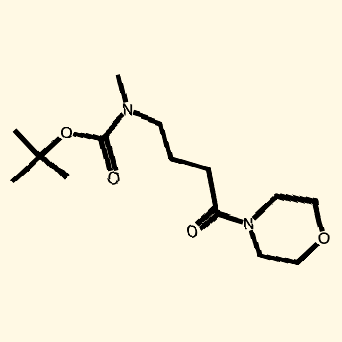 CN(CCCC(=O)N1CCOCC1)C(=O)OC(C)(C)C